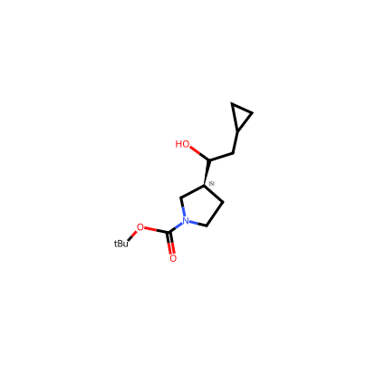 CC(C)(C)OC(=O)N1CC[C@H](C(O)CC2CC2)C1